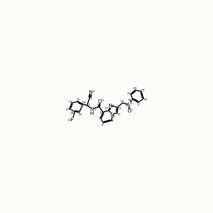 N#CC(NC(=O)c1cccn2cc(C[S+]([O-])c3ccccc3)nc12)c1cccc(F)c1